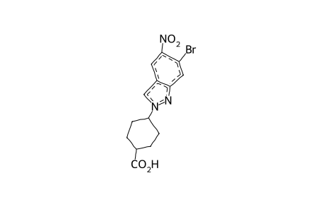 O=C(O)C1CCC(n2cc3cc([N+](=O)[O-])c(Br)cc3n2)CC1